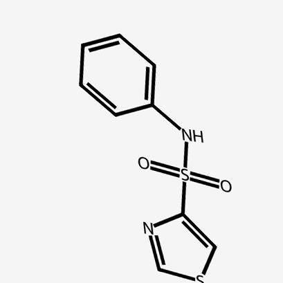 O=S(=O)(Nc1ccccc1)c1cscn1